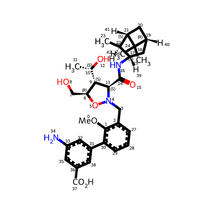 COc1c(CN2O[C@@H](CO)[C@H]([C@H](C)O)[C@H]2C(=O)N[C@H]2C[C@H]3C[C@@H]([C@@H]2C)C3(C)C)cccc1-c1cc(N)cc(C(=O)O)c1